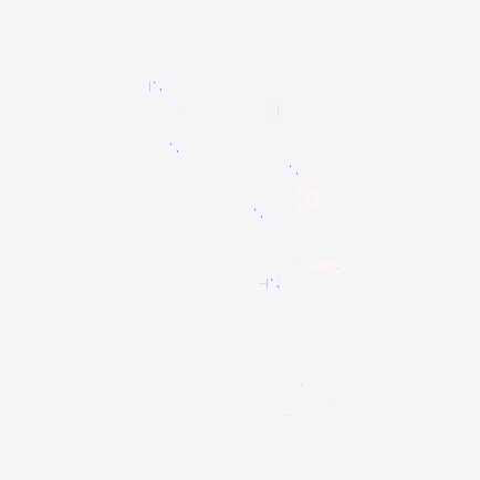 O=C(NC1CCC(F)(F)CC1)c1nc(-c2cnc3[nH]ccc3c2Cl)no1